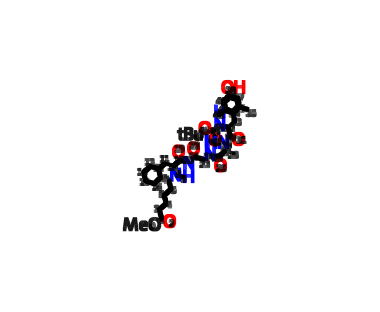 COC(=O)CCCCCN(C)[C@@H](CC1CCCCC1)C(=O)NC(=O)CNC(=O)[C@@H](C)NC(=O)[C@H](Cc1c(C)cc(O)cc1C)NC(=O)OC(C)(C)C